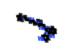 c1ccc2c(NC3CCNCC3)nc(NCc3cn(CCCNCCN4CCCC4)nn3)nc2c1